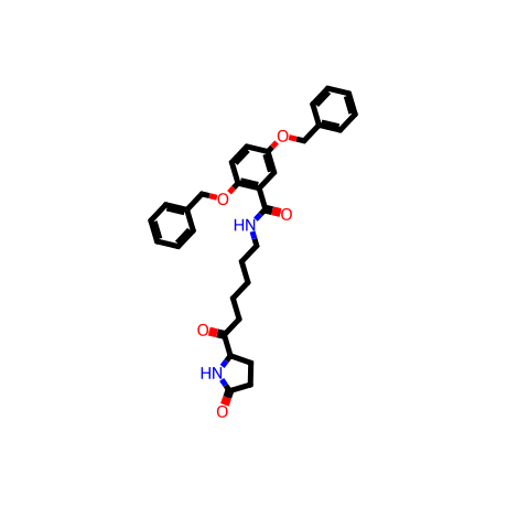 O=C1CCC(C(=O)CCCCCNC(=O)c2cc(OCc3ccccc3)ccc2OCc2ccccc2)N1